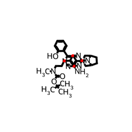 CN(CCCc1cnc(N2C3CCC2CN(c2cc(-c4ccccc4O)nnc2N)C3)nc1)C(=O)OC(C)(C)C